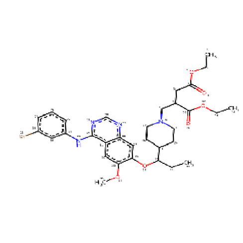 CCOC(=O)CC(CN1CCC(C(CC)Oc2cc3ncnc(Nc4cccc(Br)c4)c3cc2OC)CC1)C(=O)OCC